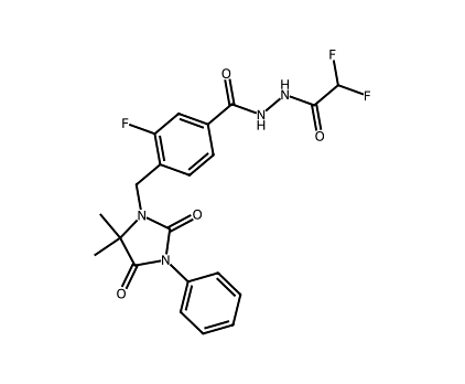 CC1(C)C(=O)N(c2ccccc2)C(=O)N1Cc1ccc(C(=O)NNC(=O)C(F)F)cc1F